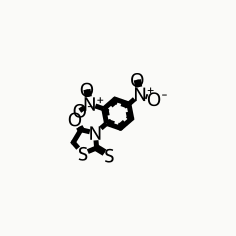 O=C1CSC(=S)N1c1ccc([N+](=O)[O-])cc1[N+](=O)[O-]